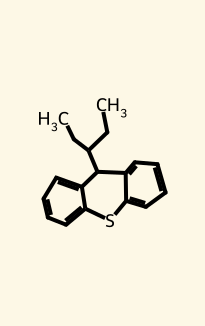 CCC(CC)C1c2ccccc2Sc2ccccc21